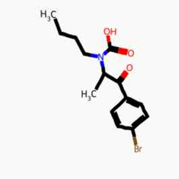 CCCCN(C(=O)O)C(C)C(=O)c1ccc(Br)cc1